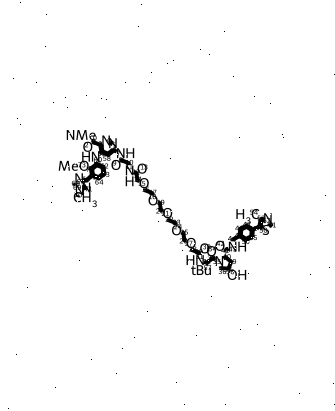 CNC(=O)c1nnc(NC(=O)CNC(=O)COCCOCCOCCOCCOCC(=O)N[C@H](C(=O)N2C[C@H](O)C[C@H]2C(=O)NCc2ccc(-c3scnc3C)cc2)C(C)(C)C)cc1Nc1cccc(-c2ncn(C)n2)c1OC